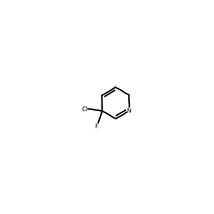 FC1(Cl)C=[C]CN=C1